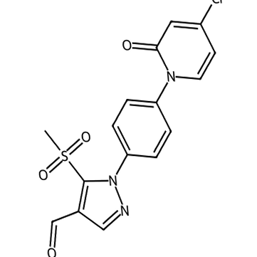 CS(=O)(=O)c1c(C=O)cnn1-c1ccc(-n2ccc(Cl)cc2=O)cc1